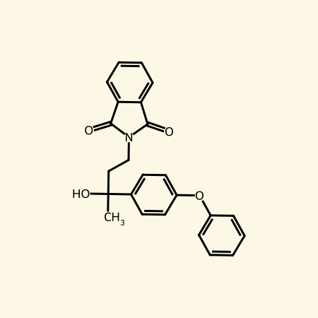 CC(O)(CCN1C(=O)c2ccccc2C1=O)c1ccc(Oc2ccccc2)cc1